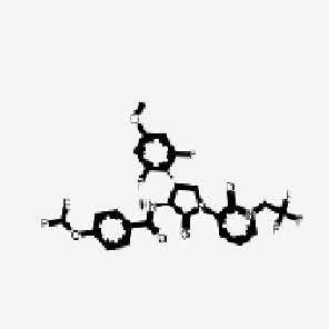 COc1cc(F)c([C@@H]2CN(c3cccn(CC(F)(F)F)c3=O)C(=O)[C@H]2NC(=O)c2ccc(OC(F)F)cc2)c(F)c1